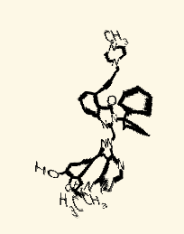 CN1CCN(CC#Cc2cccc3nc(Cn4nc(-c5ccc(O)c6c5CC(C)(C)O6)c5c(N)ncnc54)n(C4(c5ccccc5)CC4)c(=O)c23)CC1